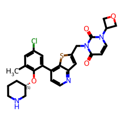 Cc1cc(Cl)cc(-c2ccnc3cc(Cn4c(=O)ccn(C5COC5)c4=O)sc23)c1O[C@H]1CCCNC1